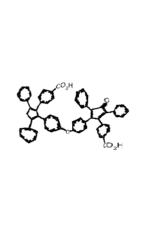 O=C1C(c2ccccc2)=C(c2ccc(Oc3ccc(C4=C(c5ccccc5)CC(c5ccccc5)=C4c4ccc(C(=O)O)cc4)cc3)cc2)C(c2ccc(C(=O)O)cc2)=C1c1ccccc1